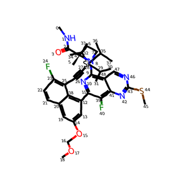 CNC(=O)[C@]1(C)CCN1c1nc(-c2cc(OCOC)cc3ccc(F)c(C#C[Si](C(C)C)(C(C)C)C(C)C)c23)c(F)c2nc(SC)ncc12